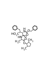 CC1CCC(C)C1OC(=O)[C@@H](C)NC(=O)[C@@H](NC(=O)OCc1ccccc1)C(Cc1ccccc1)C(=O)O